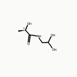 C[C@@H](O)C(=O)NCC(O)O